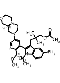 Bc1ccc2c(c1)c(CC(C)(C)COC(C)=O)c(-c1cc(N3CCN4CCOC[C@@H]4C3)cnc1[C@H](C)OC)n2CC